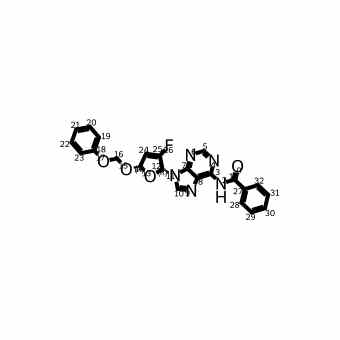 O=C(Nc1ncnc2c1ncn2[C@@H]1O[C@H](OCOc2ccccc2)C=C1F)c1ccccc1